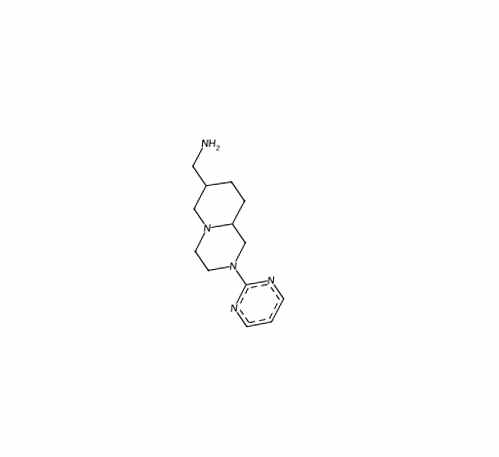 NCC1CCC2CN(c3ncccn3)CCN2C1